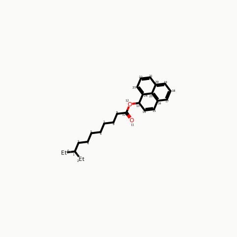 CCC(CC)CCCCCCCC(=O)OC1C=Cc2cccc3cccc1c23